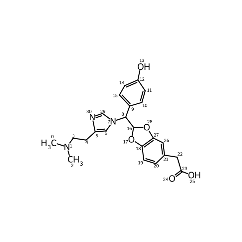 CN(C)CCc1cn(C(c2ccc(O)cc2)C2Oc3ccc(CC(=O)O)cc3O2)cn1